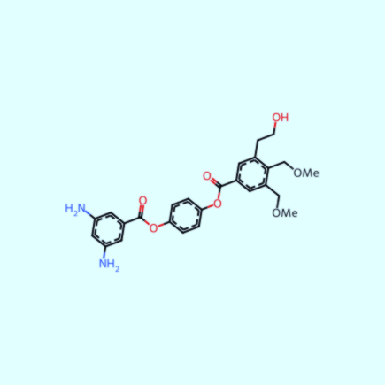 COCc1cc(C(=O)Oc2ccc(OC(=O)c3cc(N)cc(N)c3)cc2)cc(CCO)c1COC